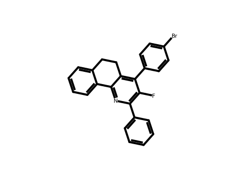 Fc1c(-c2ccccc2)nc2c(c1-c1ccc(Br)cc1)CCc1ccccc1-2